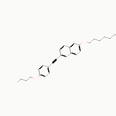 CCCCCCCOc1ccc2cc(C#Cc3ccc(OCCCC)cc3)ccc2c1